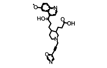 COc1ccc2nccc([C@@H](O)CCC3CCN(CC#Cc4cnco4)CC3CCC(=O)O)c2c1